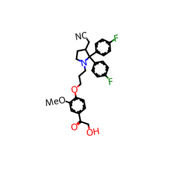 COc1cc(C(=O)CO)ccc1OCCCN1CCC(CC#N)C1(c1ccc(F)cc1)c1ccc(F)cc1